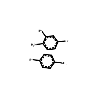 CC(C)c1ccc(N)c(C(C)C)c1.CC(C)c1ccc(N)cc1